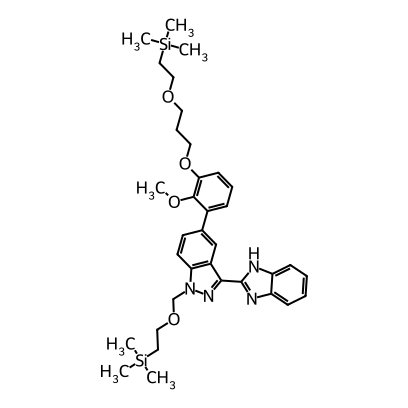 COc1c(OCCCOCC[Si](C)(C)C)cccc1-c1ccc2c(c1)c(-c1nc3ccccc3[nH]1)nn2COCC[Si](C)(C)C